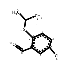 CC(C)Sc1ccc(Cl)cc1C=O